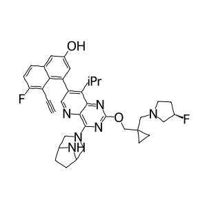 C#Cc1c(F)ccc2cc(O)cc(-c3cnc4c(N5CC6CCC(C5)N6)nc(OCC5(CN6CC[C@@H](F)C6)CC5)nc4c3C(C)C)c12